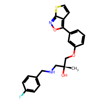 C[C@@](O)(CNCc1ccc(F)cc1)COc1cccc(-c2onc3sccc23)c1